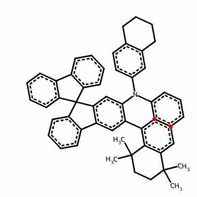 CC1(C)CCC(C)(C)c2c(-c3cc4c(cc3N(c3ccccc3)c3ccc5c(c3)CCCC5)C3(c5ccccc5-c5ccccc53)c3ccccc3-4)cccc21